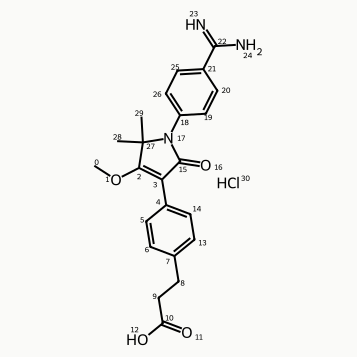 COC1=C(c2ccc(CCC(=O)O)cc2)C(=O)N(c2ccc(C(=N)N)cc2)C1(C)C.Cl